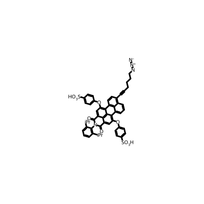 CC(C)c1cccc(C(C)C)c1N1C(=O)c2cc(Oc3ccc(S(=O)(=O)O)cc3)c3c4cccc5c(C#CCCCCN=[N+]=[N-])ccc(c6c(Oc7ccc(S(=O)(=O)O)cc7)cc(c2c36)C1=O)c54